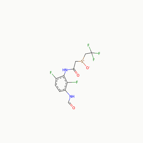 O=CNc1ccc(F)c(NC(=O)C[S+]([O-])CC(F)(F)F)c1F